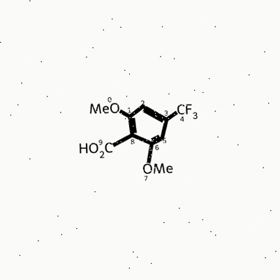 COc1cc(C(F)(F)F)cc(OC)c1C(=O)O